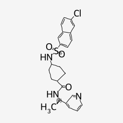 C[C@@H](NC(=O)C1CCC(NS(=O)(=O)c2ccc3cc(Cl)ccc3c2)CC1)c1cccnc1